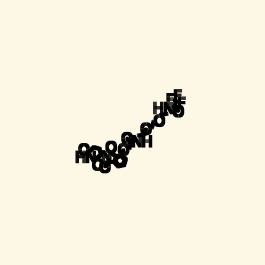 O=C(COc1cccc2c1C(=O)N(C1CCC(=O)NC1=O)C2=O)NCCOCCOCCNC(=O)C(F)(F)F